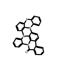 O=c1c2ccccc2c2ccc3c4c2n1c1ccccc1n-4c1cccc2sc4ccccc4n3-c21